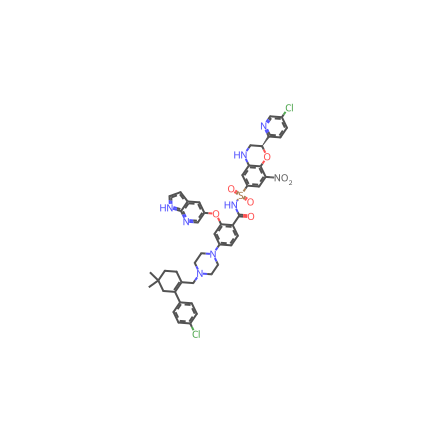 CC1(C)CCC(CN2CCN(c3ccc(C(=O)NS(=O)(=O)c4cc5c(c([N+](=O)[O-])c4)O[C@H](c4ccc(Cl)cn4)CN5)c(Oc4cnc5[nH]ccc5c4)c3)CC2)=C(c2ccc(Cl)cc2)C1